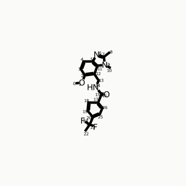 COc1ccc2nc(C)n(C)c2c1CNC(=O)c1ccc(C(C)(F)F)cc1